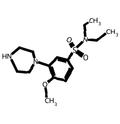 CCN(CC)S(=O)(=O)c1ccc(OC)c(N2CCNCC2)c1